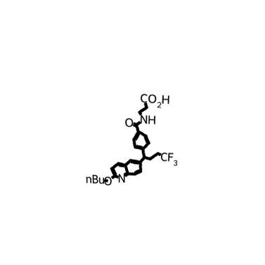 CCCCOc1ccc2cc(C(CCC(F)(F)F)c3ccc(C(=O)NCCC(=O)O)cc3)ccc2n1